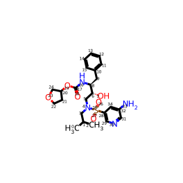 CC(C)CN(C[C@@H](O)[C@H](Cc1ccccc1)NC(=O)OC1CCOC1)S(=O)(=O)c1cncc(N)c1